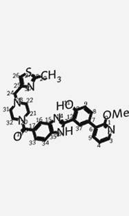 COc1ncccc1-c1ccc(O)c(-c2nc3cc(C(=O)N4CCN(Cc5csc(C)n5)CC4)ccc3[nH]2)c1